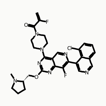 C=C(F)C(=O)N1CCN(c2nc(OC[C@@H]3CCCN3C)nc3c(F)c(-c4cncc5cccc(Cl)c45)ncc23)CC1